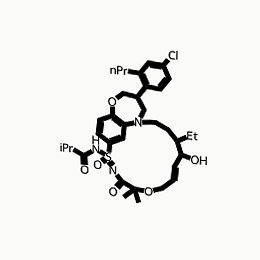 CCCc1cc(Cl)ccc1C1COc2ccc3cc2N(CCC(CC)C(O)/C=C/COC(C)(C)C(=O)N=S3(=O)NC(=O)C(C)C)C1